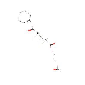 CC(C)C(=O)OCCOC(=O)C(F)(F)C(F)(F)C(F)(F)C(=O)OC1CCCCC1